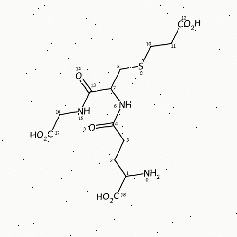 NC(CCC(=O)NC(CSCCC(=O)O)C(=O)NCC(=O)O)C(=O)O